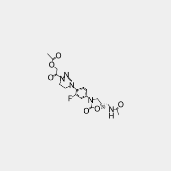 CC(=O)NC[C@H]1CN(c2ccc(N3C=NN(C(=O)COC(C)=O)CC3)c(F)c2)C(=O)O1